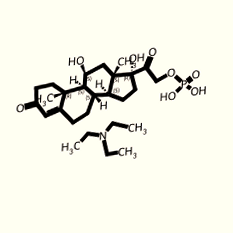 CCN(CC)CC.C[C@]12CCC(=O)C=C1CC[C@@H]1[C@@H]2[C@@H](O)C[C@@]2(C)[C@H]1CC[C@]2(O)C(=O)COP(=O)(O)O